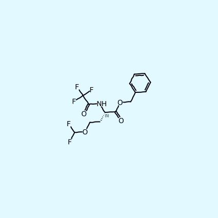 O=C(OCc1ccccc1)[C@H](CCOC(F)F)NC(=O)C(F)(F)F